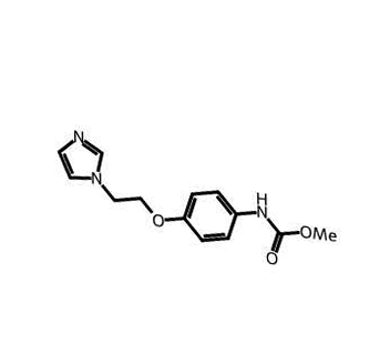 COC(=O)Nc1ccc(OCCn2ccnc2)cc1